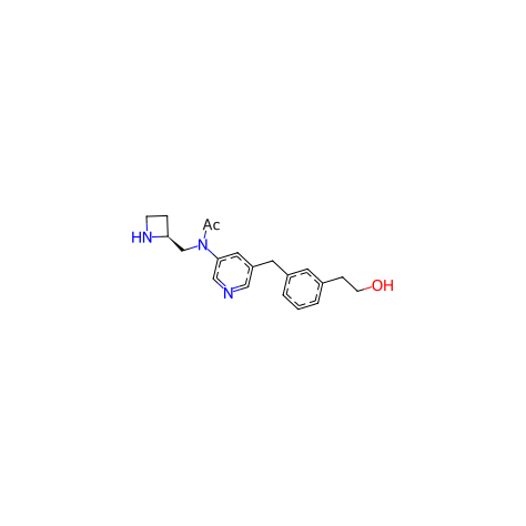 CC(=O)N(C[C@@H]1CCN1)c1cncc(Cc2cccc(CCO)c2)c1